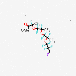 COC(=O)C(F)(OC(F)(F)C(F)(OC(F)(F)C(F)(OC(F)(F)C(F)(F)CI)C(F)(F)F)C(F)(F)F)C(F)(F)F